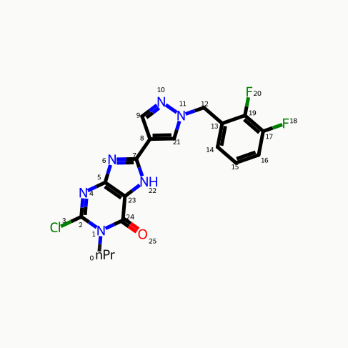 CCCn1c(Cl)nc2nc(-c3cnn(Cc4cccc(F)c4F)c3)[nH]c2c1=O